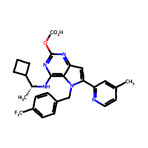 Cc1ccnc(-c2cc3nc(OC(=O)O)nc(N[C@H](C)C4CCC4)c3n2Cc2ccc(C(F)(F)F)cc2)c1